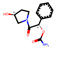 NC(=O)O[C@H](C(=O)N1CC[C@H](O)C1)c1ccccc1